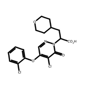 O=C(O)C(CC1CCOCC1)n1ncc(Oc2ccccc2Cl)c(Cl)c1=O